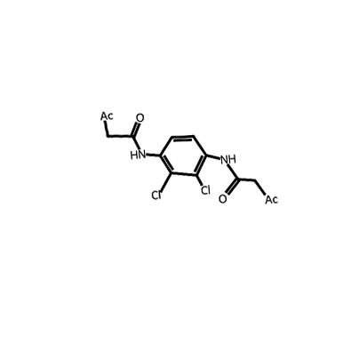 CC(=O)CC(=O)Nc1ccc(NC(=O)CC(C)=O)c(Cl)c1Cl